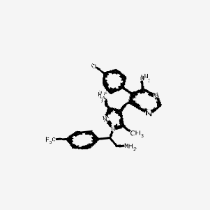 Cc1nn(C(CN)c2ccc(C(F)(F)F)cc2)c(C)c1-c1ncnc(N)c1-c1ccc(Cl)cc1